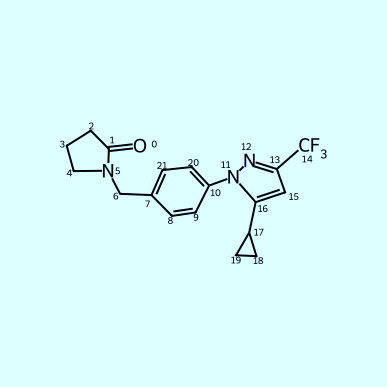 O=C1CCCN1Cc1ccc(-n2nc(C(F)(F)F)cc2C2CC2)cc1